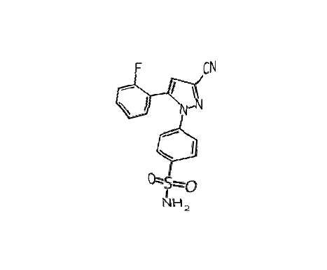 N#Cc1cc(-c2ccccc2F)n(-c2ccc(S(N)(=O)=O)cc2)n1